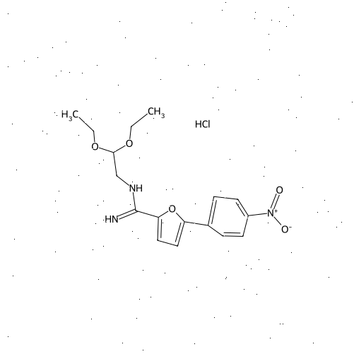 CCOC(CNC(=N)c1ccc(-c2ccc([N+](=O)[O-])cc2)o1)OCC.Cl